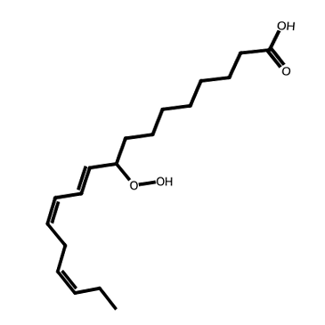 CC/C=C\C/C=C\C=C\C(CCCCCCCC(=O)O)OO